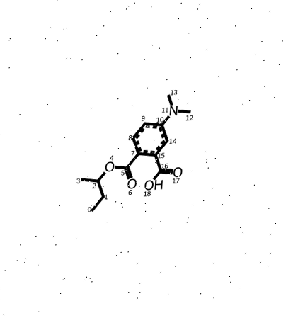 CCC(C)OC(=O)c1ccc(N(C)C)cc1C(=O)O